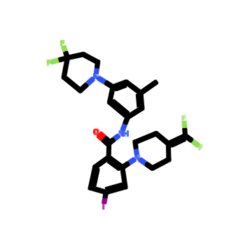 Cc1cc(NC(=O)c2ccc(I)cc2N2CCC(=C(F)F)CC2)cc(N2CCC(F)(F)CC2)c1